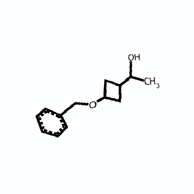 CC(O)C1CC(OCc2ccccc2)C1